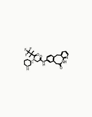 CC(C)(C(=O)N(CC(=O)Nc1ccc2c(c1)CC(=O)Nc1ncccc1C2)[C@H]1CCCNC1)C(F)(F)F